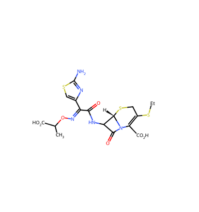 CCSC1=C(C(=O)O)N2C(=O)C(NC(=O)C(=NOC(C)C(=O)O)c3csc(N)n3)[C@@H]2SC1